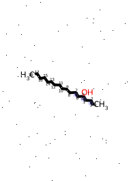 C/C=C/C=C(O)/C=C/CCCCCCCCCCC